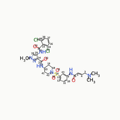 CN(C)CC=CC(=O)Nc1cccc(S(=O)(=O)N2CCC(NC(=O)c3nn(C)cc3NC(=O)c3c(Cl)cccc3Cl)CC2)c1